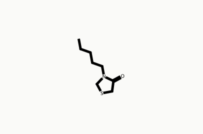 CCCCCN1CSCC1=O